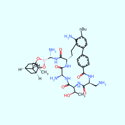 CCCCc1ccc(-c2ccc(C(=O)N[C@@H](CN)C(=O)N[C@H](C(=O)N[C@@H](N)C(=O)N[C@@H](CCCCN)C(=O)N[C@@H](N)B3OC4C[C@@H]5C[C@@H](C5(C)C)[C@]4(C)O3)C(C)O)cc2)cc1